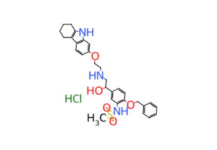 CS(=O)(=O)Nc1cc(C(O)CNCCOc2ccc3c4c([nH]c3c2)CCCC4)ccc1OCc1ccccc1.Cl